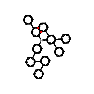 c1ccc(-c2ccc(N(c3ccc(-c4ccccc4-c4ccccc4-c4ccccc4)cc3)c3cc(-c4ccccc4)c(-c4ccccc4)cc3-c3ccccc3)cc2)cc1